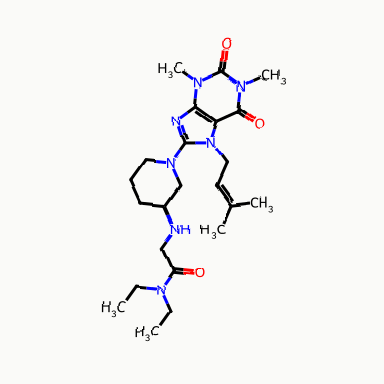 CCN(CC)C(=O)CNC1CCCN(c2nc3c(c(=O)n(C)c(=O)n3C)n2CC=C(C)C)C1